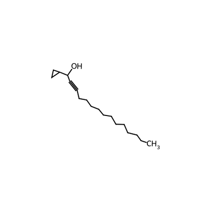 CCCCCCCCCCCCC#CC(O)C1CC1